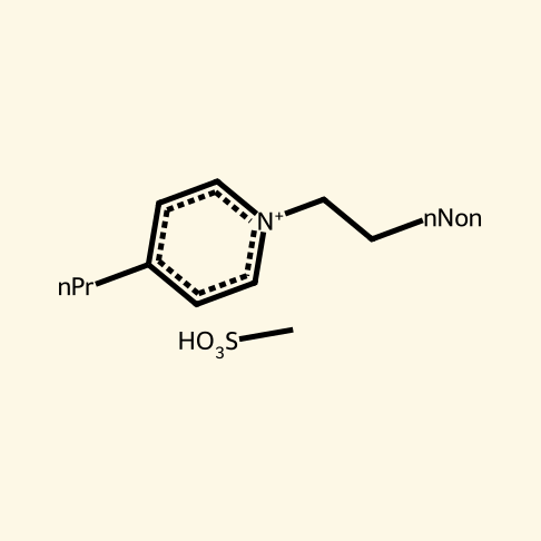 CCCCCCCCCCC[n+]1ccc(CCC)cc1.CS(=O)(=O)O